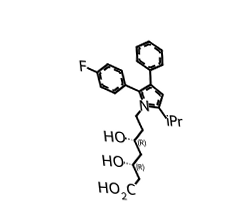 CC(C)c1cc(-c2ccccc2)c(-c2ccc(F)cc2)n1CC[C@@H](O)C[C@@H](O)CC(=O)O